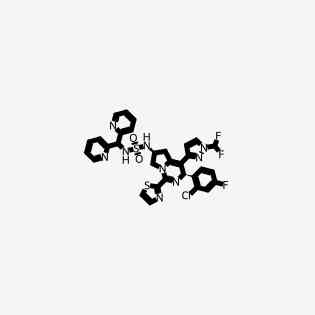 O=S(=O)(NC(c1ccccn1)c1ccccn1)N[C@H]1CC2=C(c3ccn(C(F)F)n3)[C@H](c3ccc(F)cc3Cl)N=C(c3nccs3)N2C1